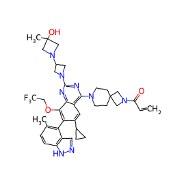 C=CC(=O)N1CC2(CCN(c3nc(N4CC(N5CC(C)(O)C5)C4)nc4c(OCC(F)(F)F)c(-c5c(C)ccc6[nH]ncc56)c(C5CC5)cc34)CC2)C1